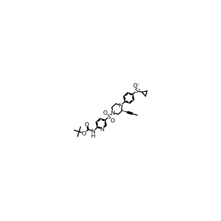 CC#C[C@H]1CN(S(=O)(=O)c2ccc(NC(=O)OC(C)(C)C)nc2)CCN1c1ccc([S+]([O-])C2CC2)cc1